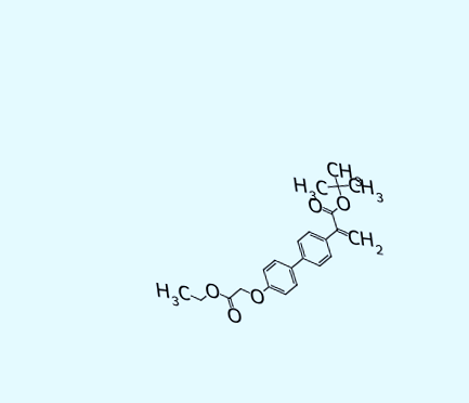 C=C(C(=O)OC(C)(C)C)c1ccc(-c2ccc(OCC(=O)OCC)cc2)cc1